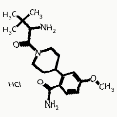 COc1ccc(C(N)=O)c(C2CCN(C(=O)C(N)C(C)(C)C)CC2)c1.Cl